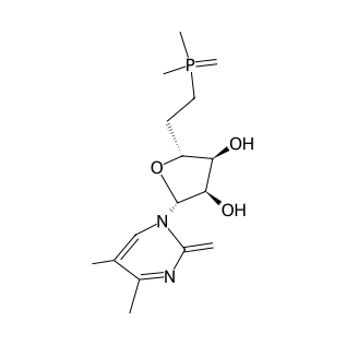 C=C1N=C(C)C(C)=CN1[C@@H]1O[C@H](CCP(=C)(C)C)[C@@H](O)[C@H]1O